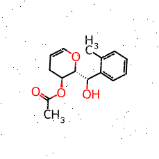 CC(=O)O[C@H]1CC=CO[C@@H]1C(O)c1ccccc1C